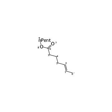 [CH2]/C=C/CCCC(=O)OCCCCC